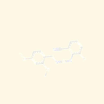 COc1ccc(CN=C=Nc2c(F)cccc2C#N)c(OC)c1